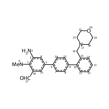 CNc1c(N)cc(-c2ccc(-c3ccccc3CN3CCOCC3)cc2)cc1C=O